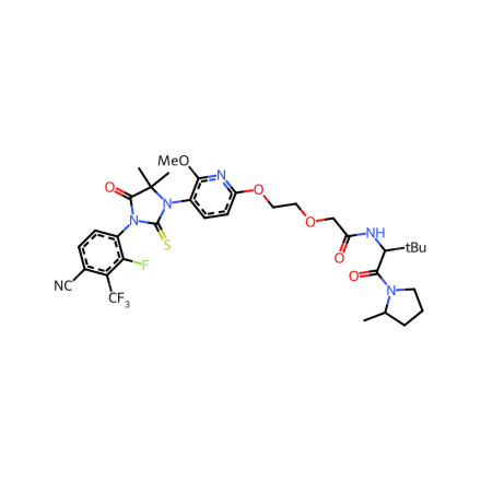 COc1nc(OCCOCC(=O)NC(C(=O)N2CCCC2C)C(C)(C)C)ccc1N1C(=S)N(c2ccc(C#N)c(C(F)(F)F)c2F)C(=O)C1(C)C